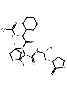 N#C[C@H](C[C@@H]1CCNC1=O)NC(=O)[C@@H]1[C@H]2CC[C@H](C2)N1C(=O)[C@@H](NC(=O)C(F)(F)F)C1CCCCC1